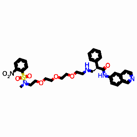 CN(CCOCCOCCOCCNC[C@@H](C(=O)Nc1ccc2cnccc2c1)c1ccccc1)S(=O)(=O)c1ccccc1[N+](=O)[O-]